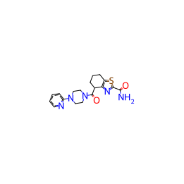 NC(=O)c1nc2c(s1)CCCC2C(=O)N1CCN(c2ccccn2)CC1